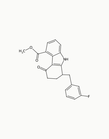 COC(=O)c1cccc2[nH]c3c(c12)C(=O)CCC3Cc1cccc(F)c1